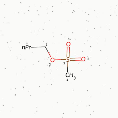 [CH2]CCCOS(C)(=O)=O